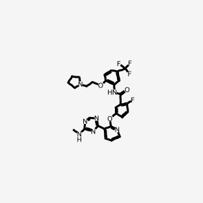 CNc1ncnc(-c2cccnc2Oc2ccc(F)c(C(=O)Nc3cc(C(F)(F)F)ccc3OCCN3CCCC3)c2)n1